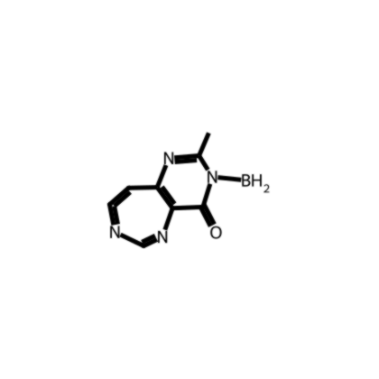 Bn1c(C)nc2c(c1=O)N=CN=C=C2